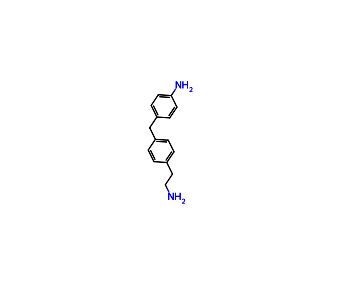 NCCc1ccc(Cc2ccc(N)cc2)cc1